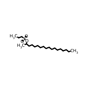 CCCCCCCCCCCCCCCCC(C)OS(=O)(=O)CCC